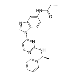 CCC(=O)Nc1ccc2c(c1)ncn2-c1ccnc(N[C@@H](C)c2ccccc2)n1